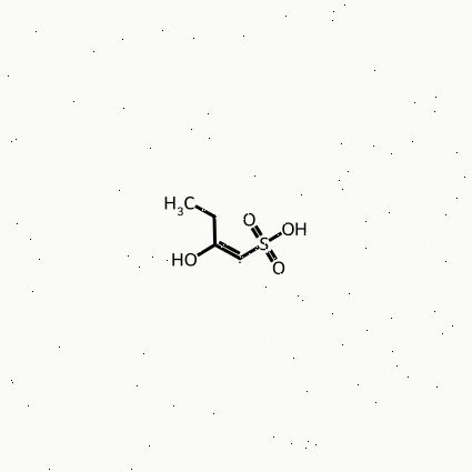 CC/C(O)=[C]\S(=O)(=O)O